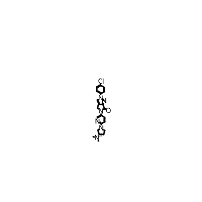 CN(C)[C@H]1CCN(c2ccc(N3Cc4cn(-c5ccc(Cl)cc5)nc4C3=O)cn2)C1